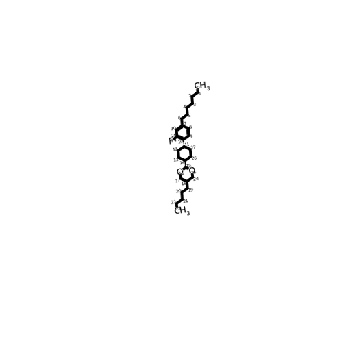 CCCCCCCc1ccc([C@H]2CC[C@H](C3OCC(CCCCC)CO3)CC2)c(F)c1